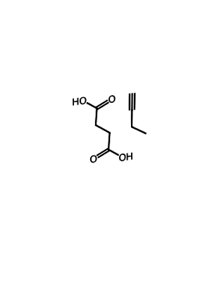 C#CCC.O=C(O)CCC(=O)O